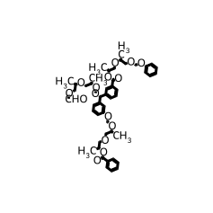 CC(COC=O)OCC(C)OOC(c1cccc(OCOC(C)COCC(C)OC(=O)c2ccccc2)c1)c1cccc(C(=O)OC(C)COC(C)COCOc2ccccc2)c1